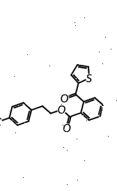 Cc1ccc(CCOC(=O)c2ccccc2C(=O)c2cccs2)cc1